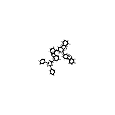 c1ccc(-c2nc(-c3ccccc3)nc(-c3cccc4c3sc3cccc(-c5cc(-c6ccc7c(c6)sc6ccccc67)c6sc7ccccc7c6c5)c34)n2)cc1